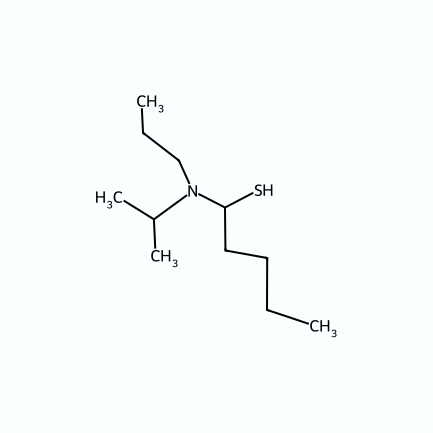 CCCCC(S)N(CCC)C(C)C